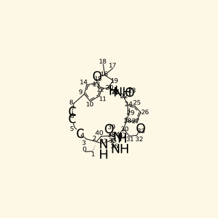 CC[C@@]12CCCCCCc3ccc4c(c3)OC(C)(C)C[C@@H]4NC(=O)c3ccc4c(c3)[C@@H](CCO4)N(C(=N)N1)C(=O)C2